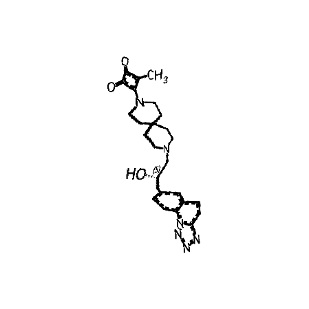 Cc1c(N2CCC3(CCN(C[C@@H](O)c4ccc5c(ccc6nnnn65)c4)CC3)CC2)c(=O)c1=O